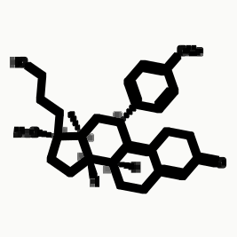 COc1ccc([C@H]2C[C@@]3(C)[C@@H](CC[C@]3(CCCO)OC)[C@@H]3CCC4=CC(=O)CCC4=C32)cc1